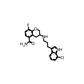 NC(=O)c1ccc(F)c2c1CC(NCCCc1c[nH]c3c(Cl)cccc13)CO2